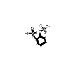 O=S(=O)(F)Oc1ccccc1N=S(=O)(F)F